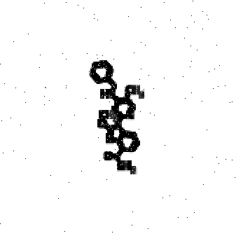 COc1nc2c(C(N)=O)cccc2n1-c1ncc(C)c(NCc2ccccc2)n1